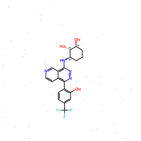 Oc1cc(C(F)(F)F)ccc1-c1nnc(N[C@@H]2CCC[C@H](O)[C@H]2O)c2cnccc12